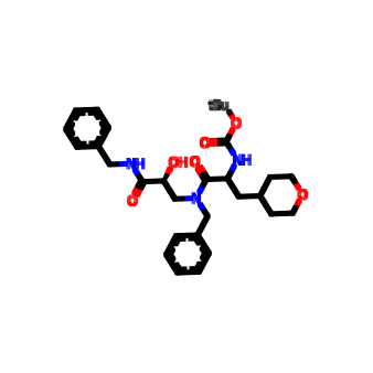 CC(C)(C)OC(=O)NC(CC1CCOCC1)C(=O)N(Cc1ccccc1)C[C@H](O)C(=O)NCc1ccccc1